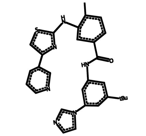 Cc1ccc(C(=O)Nc2cc(-n3ccnc3)cc(C(C)(C)C)c2)cc1Nc1nc(-c2cccnc2)cs1